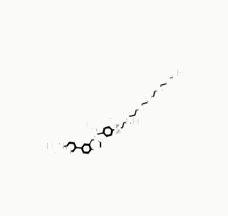 CCOCCOCCOCCOCCC(=O)NCCS(=O)(=O)c1ccc(C(=O)N2CCOc3ccc(-c4ccc(N)nc4)cc3C2)c(C)c1F